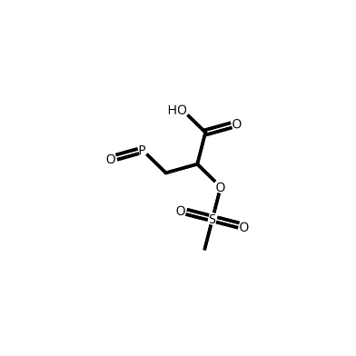 CS(=O)(=O)OC(CP=O)C(=O)O